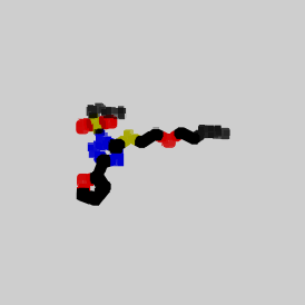 CCCCCS(=O)(=O)n1nc(-c2ccco2)nc1SCCOCCOC